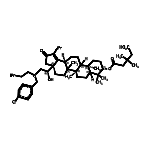 CC(C)CCN(Cc1ccc(Cl)cc1)C[C@H](O)[C@@]12CC[C@]3(C)[C@H](CC[C@@H]4[C@@]5(C)CC[C@H](OC(=O)CC(C)(C)CC(=O)O)C(C)(C)[C@@H]5CC[C@]43C)C1=C(C(C)C)C(=O)C2